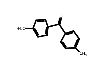 [CH2]c1ccc(C(=O)c2ccc(C)cc2)cc1